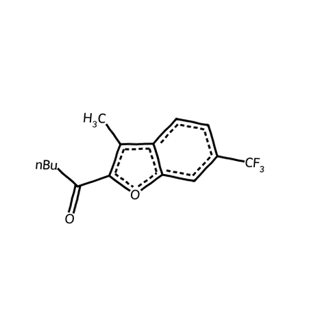 CCCCC(=O)c1oc2cc(C(F)(F)F)ccc2c1C